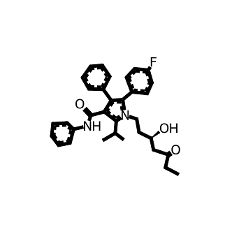 CCC(=O)C[C@H](O)CCn1c(-c2ccc(F)cc2)c(-c2ccccc2)c(C(=O)Nc2ccccc2)c1C(C)C